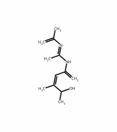 C=C(C)/N=C(\C)NC(=C)/C=C(/C)C(C)O